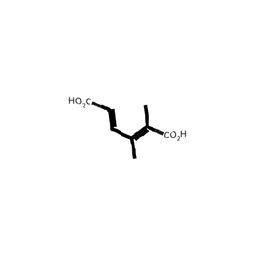 CC(C=CC(=O)O)=C(C)C(=O)O